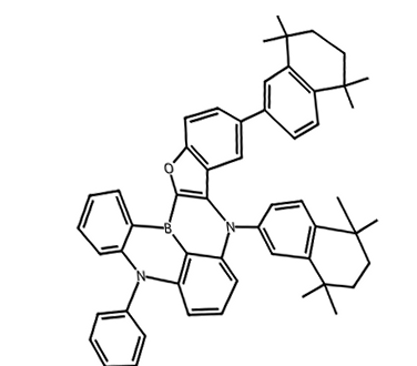 CC1(C)CCC(C)(C)c2cc(-c3ccc4oc5c(c4c3)N(c3ccc4c(c3)C(C)(C)CCC4(C)C)c3cccc4c3B5c3ccccc3N4c3ccccc3)ccc21